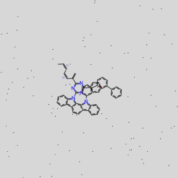 C=C(/C=C\C=C/C)c1nc(-c2ccccc2)nc(-n2c3ccccc3c3ccc4c5ccccc5n(-c5cccc(-c6cccc(-c7ccccc7)c6)c5)c4c32)n1